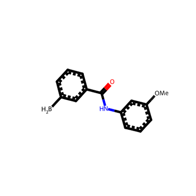 Bc1cccc(C(=O)Nc2cccc(OC)c2)c1